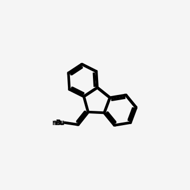 CCCCC=C1c2ccccc2-c2ccccc21